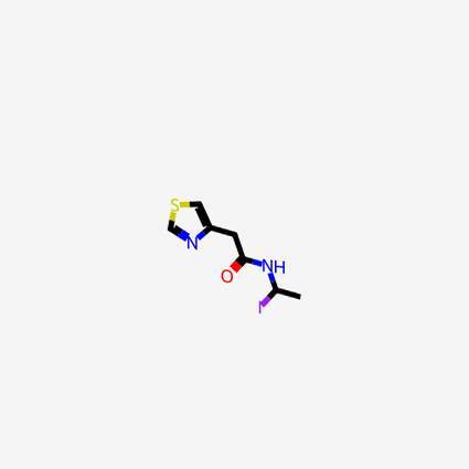 CC(I)NC(=O)Cc1cscn1